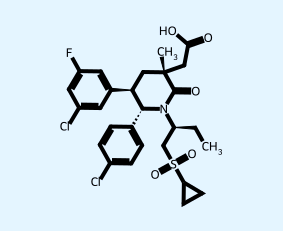 CC[C@@H](CS(=O)(=O)C1CC1)N1C(=O)[C@@](C)(CC(=O)O)C[C@H](c2cc(F)cc(Cl)c2)[C@H]1c1ccc(Cl)cc1